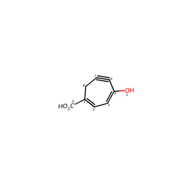 O=C(O)C1=CC=C(O)C#CC1